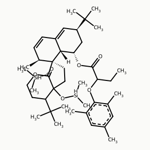 CCC(Oc1c(C)cc(C)cc1C)C(=O)O[C@H]1C[C@H](C(C)(C)C)C=C2C=C[C@H](C)[C@](CCC3(O[SiH](C)C)C(=O)OCCC3C(C)(C)C)(O[SiH](C)C)[C@H]21